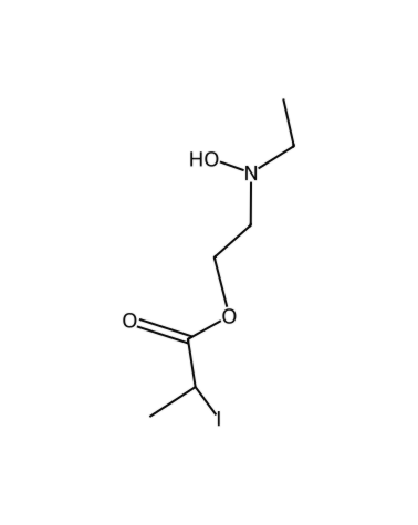 CCN(O)CCOC(=O)C(C)I